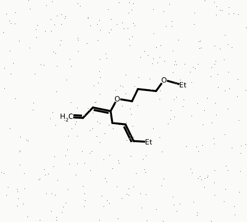 C=C/C=C(\CC=CCC)OCCCOCC